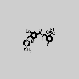 CCS(=O)(=O)c1ccc(Cl)cc1CNC(=O)c1cc(Br)c(CN2CCN(C)CC2)c(Br)c1